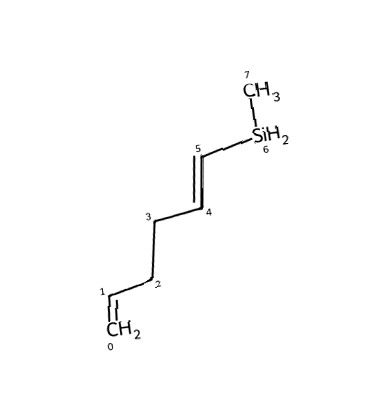 C=CCCC=C[SiH2]C